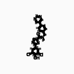 CN(Cc1ccc(-c2cncnc2)cc1)C(=O)c1nc(-c2cc(Cl)c(O)c(Cl)c2)no1